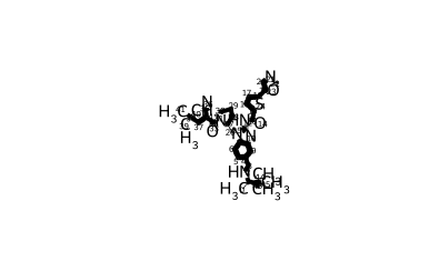 C[C@H](NCc1ccc2c(c1)nc(NC(=O)c1ccc(-c3cnco3)s1)n2C[C@H]1CCCN1C(=O)C(C#N)=CC(C)(C)C)C(C)(C)C